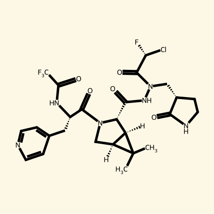 CC1(C)[C@@H]2[C@@H](C(=O)NN(C[C@@H]3CCNC3=O)C(=O)[C@H](F)Cl)N(C(=O)[C@H](Cc3ccncc3)NC(=O)C(F)(F)F)C[C@@H]21